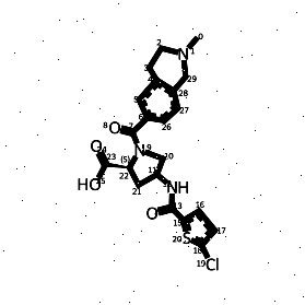 CN1CCc2cc(C(=O)N3CC(NC(=O)c4ccc(Cl)s4)C[C@H]3C(=O)O)ccc2C1